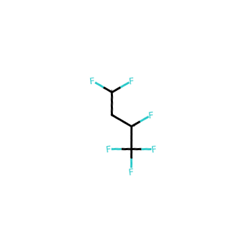 F[C](F)C[C](F)C(F)(F)F